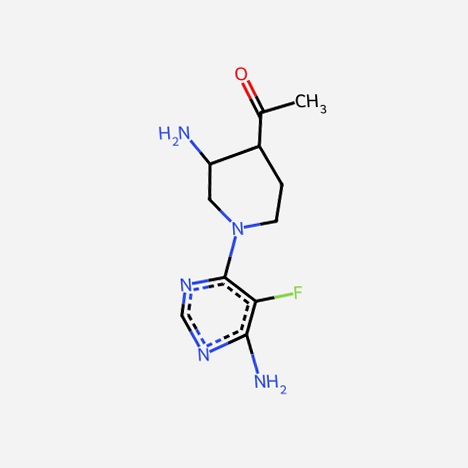 CC(=O)C1CCN(c2ncnc(N)c2F)CC1N